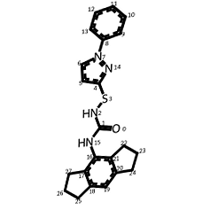 O=C(NSc1ccn(-c2ccccc2)n1)Nc1c2c(cc3c1CCC3)CCC2